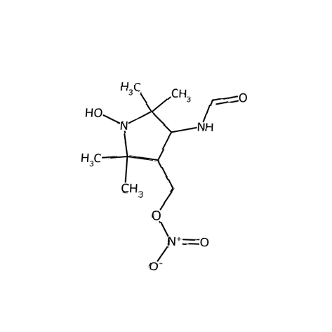 CC1(C)C(CO[N+](=O)[O-])C(NC=O)C(C)(C)N1O